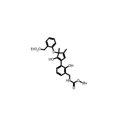 CCOC(=O)Cc1ccccc1OC1(C)C(C)=CC(c2cccc(CNC(=O)OC(C)(C)C)c2O)=C1O